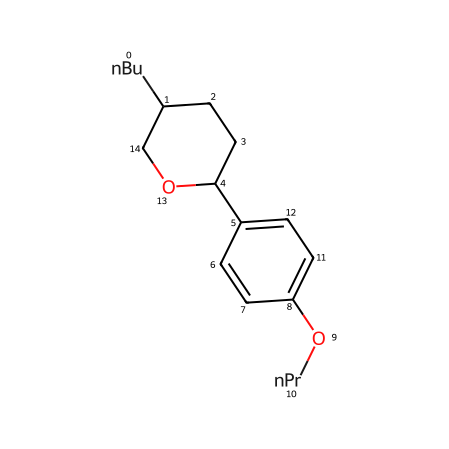 CCCCC1CCC(c2ccc(OCCC)cc2)OC1